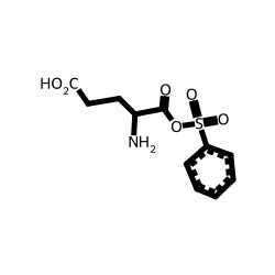 NC(CCC(=O)O)C(=O)OS(=O)(=O)c1ccccc1